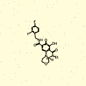 CCN1C(=O)c2c(O)c(=O)c(C(=O)NCc3ccc(F)cc3F)cn2N2CCOC[C@@H]12